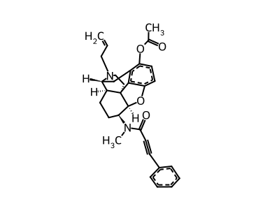 C=CCN1CC[C@@]23c4c5ccc(OC(C)=O)c4C[C@@H]1[C@@H]2CC[C@H](N(C)C(=O)C#Cc1ccccc1)[C@@H]3O5